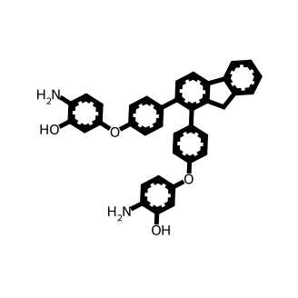 Nc1ccc(Oc2ccc(-c3ccc4c(c3-c3ccc(Oc5ccc(N)c(O)c5)cc3)Cc3ccccc3-4)cc2)cc1O